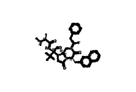 CN[C@@H](C)C(=O)N[C@@](C=O)(N1CC(=O)N2[C@@H](Cc3ccc4ccccc4c3)C(=O)N(C(F)Cc3ccccc3)C[C@@H]21)C(C)(C)C